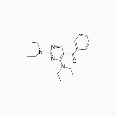 CCN(CC)c1n[c]c(C(=O)c2ccccc2)c(N(CC)CC)n1